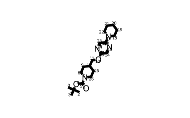 CC(C)(C)OC(=O)N1CCC(COc2cnc(N3CCCCC3)cn2)CC1